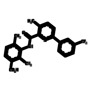 Cc1ccc(-c2cccc(C(F)(F)F)c2)nc1C(=O)Nc1c(C)ccc(C(=O)O)c1C